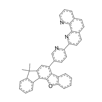 CC1(C)c2ccccc2-c2c1cc(-c1ccc(-c3ccc4ccc5cccnc5c4n3)nc1)c1c2oc2ccccc21